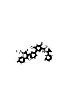 CNC(=O)c1c(-c2ccc(F)cc2)oc2ccc(-c3cc(C(=O)NC4(c5ccccn5)CC4)c(F)cc3Cl)cc12